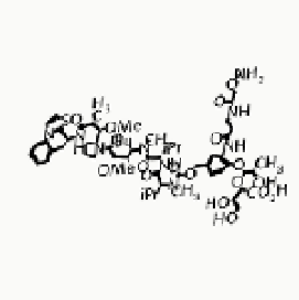 CCC(C)[C@@H]([C@@H](CC(=O)N1CCC[C@H]1[C@H](OC)[C@@H](C)C(=O)N[C@@H](Cc1ccccc1)c1nccs1)OC)N(C)C(=O)[C@@H](NC(=O)[C@H](C(C)C)N(C)C(=O)OCc1ccc(O[C@H](OC(C(=O)O)[C@@H](O)CO)[C@H](C)O)c(NC(=O)CCNC(=O)CON)c1)C(C)C